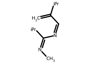 C=C(/C=N\C(=N/C)C(C)C)C(C)C